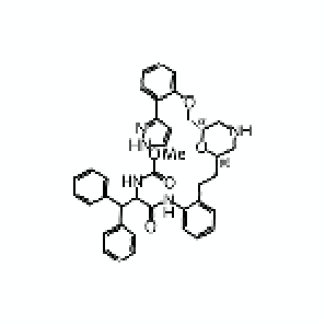 COC(=O)NC(C(=O)Nc1ccccc1CC[C@@H]1CNC[C@@H](COc2ccccc2-c2cc[nH]n2)O1)C(c1ccccc1)c1ccccc1